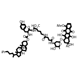 COc1cccc2c1C(=O)c1c(O)c3c(c(O)c1C2=O)C[C@@](O)(C(C)=O)C[C@@H]3O[C@H]1C[C@H](NC(=O)CCC(=O)NCCCC[C@@H](NC(=O)C(Cc2ccc(O)cc2)NC(=O)OC2CCC3(C)C(=CCC4[C@@H]3CCC3(C)C(C(C)CCCC(C)C)CC[C@@H]43)C2)C(=O)O)[C@H](O)[C@H](C)O1